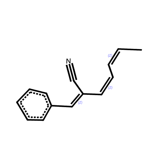 C\C=C/C=C\C(C#N)=C\c1ccccc1